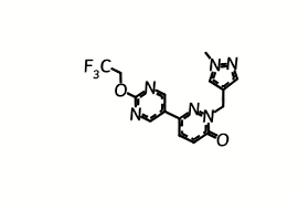 Cn1cc(Cn2nc(-c3cnc(OCC(F)(F)F)nc3)ccc2=O)cn1